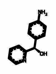 Nc1ccc([C@@H](O)c2ccccn2)cc1